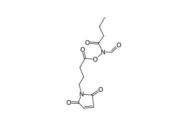 CCCC(=O)N(C=O)OC(=O)CCCN1C(=O)C=CC1=O